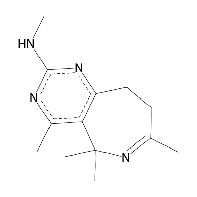 CNc1nc(C)c2c(n1)CCC(C)=NC2(C)C